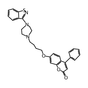 O=c1cc(-c2ccccc2)c2ccc(OCCCCN3CCN(c4nsc5ccccc45)CC3)cc2o1